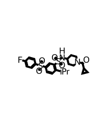 CC(C)c1ccc(S(=O)(=O)c2ccc(F)cc2)cc1S(=O)(=O)NC1CCN(C(=O)C2CC2)CC1